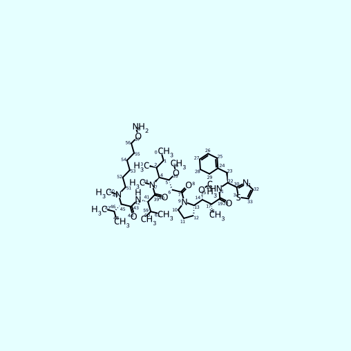 CC[C@H](C)[C@@H]([C@@H](CC(=O)N1CCC[C@H]1[C@H](OC)[C@@H](C)C(=O)N[C@@H](CC1=CC=CCC1)c1nccs1)OC)N(C)C(=O)[C@@H](NC(=O)[C@H](C(C)C)N(C)CCCCCCON)C(C)C